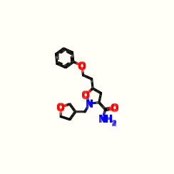 NC(=O)C1CC(CCOc2ccccc2)ON1CC1CCOC1